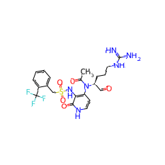 CC(=O)N(c1cc[nH]c(=O)c1NS(=O)(=O)Cc1ccccc1C(F)(F)F)[C@H](C=O)CCCNC(=N)N